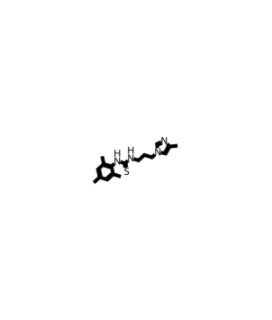 Cc1cc(C)c(NC(=S)NCCCn2cnc(C)c2)c(C)c1